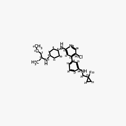 COC[C@H](C)N[C@H]1CC[C@H](Nc2cc(-c3cccc(NCC4(F)CC4)c3)c(Cl)cn2)CC1